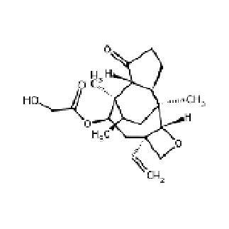 C=C[C@@]12CO[C@H]1[C@H](C)[C@]13CCC(=O)[C@H]1[C@@](C)([C@H](C)CC3)[C@H](OC(=O)CO)C2